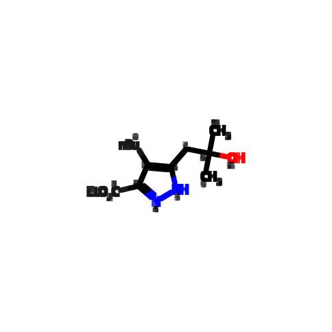 CCCCc1c(C(=O)OCC)n[nH]c1CC(C)(C)O